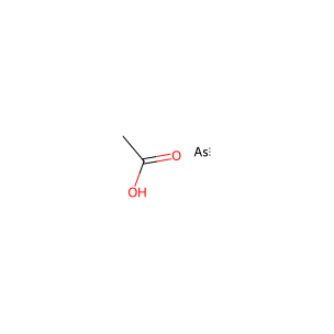 CC(=O)O.[As]